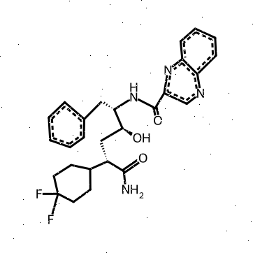 NC(=O)[C@@H](C[C@H](O)[C@H](Cc1ccccc1)NC(=O)c1cnc2ccccc2n1)C1CCC(F)(F)CC1